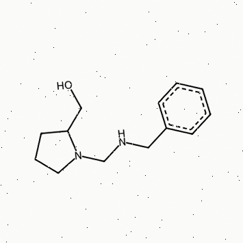 OCC1CCCN1CNCc1ccccc1